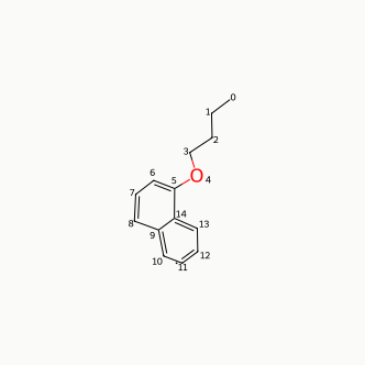 CCCCOc1cccc2c[c]ccc12